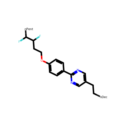 CCCCCCCCCCCCc1cnc(-c2ccc(OCCC(F)C(F)CCCCC)cc2)nc1